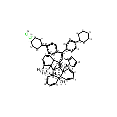 CC1=CC=CC2[CH]([Zr+2]([C]3=CC=CC3)=[C](c3ccc(C4CCCCC4)cc3)c3ccc(C4CCCCC4)cc3)C3(C)C4(C)C=CC=CC4(C)C4(C)C=CC=CC4(C)C3(C)C12C.[Cl-].[Cl-]